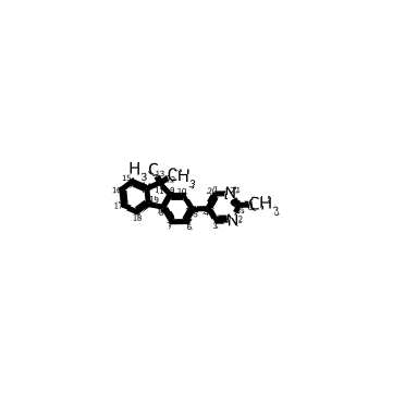 Cc1ncc(-c2ccc3c(c2)C(C)(C)c2ccccc2-3)cn1